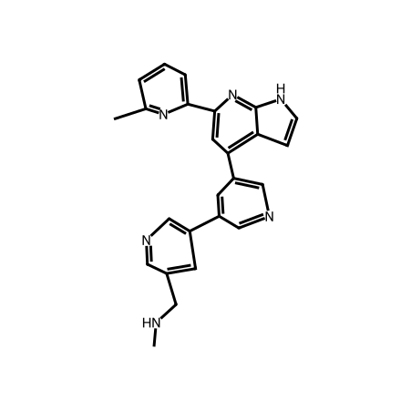 CNCc1cncc(-c2cncc(-c3cc(-c4cccc(C)n4)nc4[nH]ccc34)c2)c1